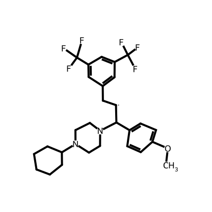 COc1ccc(C([CH]Cc2cc(C(F)(F)F)cc(C(F)(F)F)c2)N2CCN(C3CCCCC3)CC2)cc1